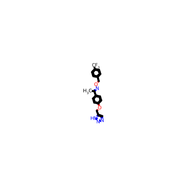 C/C(=N\OCc1ccc(C(F)(F)F)cc1)c1ccc(OCc2cnn[nH]2)cc1